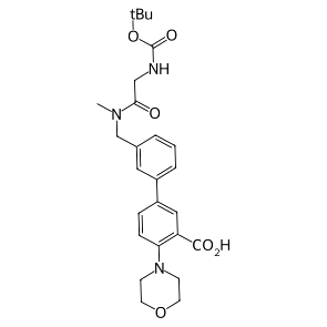 CN(Cc1cccc(-c2ccc(N3CCOCC3)c(C(=O)O)c2)c1)C(=O)CNC(=O)OC(C)(C)C